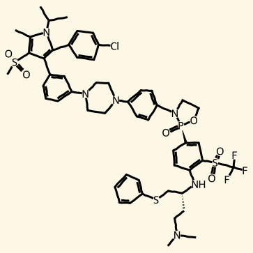 Cc1c(S(C)(=O)=O)c(-c2cccc(N3CCN(c4ccc(N5CCO[P@@]5(=O)c5ccc(N[C@H](CCN(C)C)CSc6ccccc6)c(S(=O)(=O)C(F)(F)F)c5)cc4)CC3)c2)c(-c2ccc(Cl)cc2)n1C(C)C